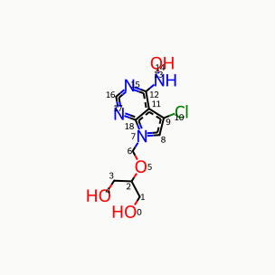 OCC(CO)OCn1cc(Cl)c2c(NO)ncnc21